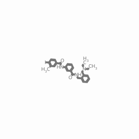 CCN(CC)Cc1ccccc1CNC(=O)c1cccc(NC(=O)c2ccc(I)c(C)c2)c1